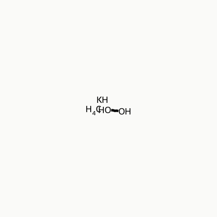 C.OO.[KH]